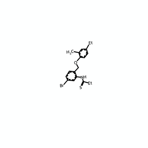 CCC(=S)Nc1cc(Br)ccc1COc1ccc(CC)cc1C